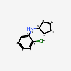 Clc1ccccc1NC1CCCC1